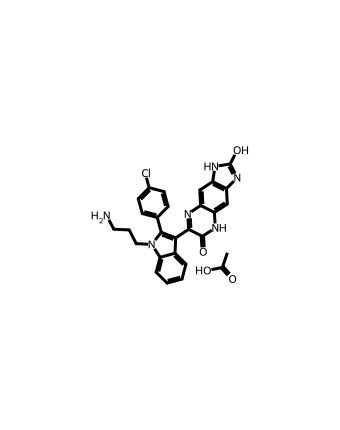 CC(=O)O.NCCCn1c(-c2ccc(Cl)cc2)c(-c2nc3cc4[nH]c(O)nc4cc3[nH]c2=O)c2ccccc21